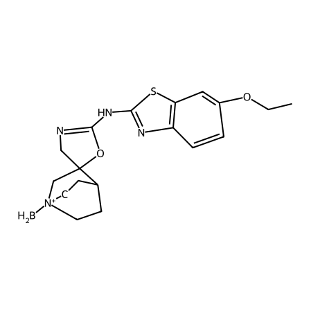 B[N+]12CCC(CC1)C1(CN=C(Nc3nc4ccc(OCC)cc4s3)O1)C2